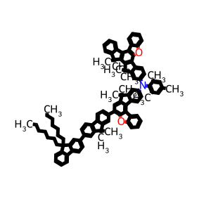 CCCCCCCC1(CCCCCCC)c2ccccc2-c2ccc(-c3ccc4c(c3)C(C)(C)c3cc(-c5cc6c(c7c5oc5ccccc57)-c5ccc(N(c7ccc8c(c7)C(C)(C)c7c9c(c%10c(oc%11ccccc%11%10)c7-8)-c7ccccc7C9(C)C)c7c(C)cc(C)cc7C)cc5C6(C)C)ccc3-4)cc21